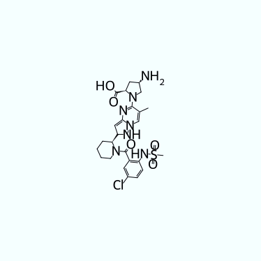 CC1=CN2NC([C@@H]3CCCCN3C(=O)c3cc(Cl)ccc3NS(C)(=O)=O)C=C2N=C1N1C[C@H](N)C[C@@H]1C(=O)O